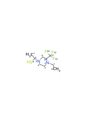 CCN1CCN(C(C)S)CC1C(F)(F)F